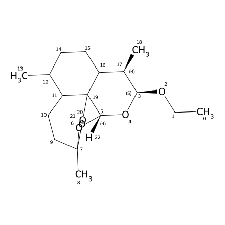 CCO[C@H]1O[C@@H]2OC3(C)CCC4C(C)CCC([C@H]1C)C42OO3